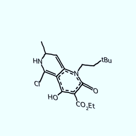 CCOC(=O)c1c(O)c2c(n(CCC(C)(C)C)c1=O)=CC(C)NC=2Cl